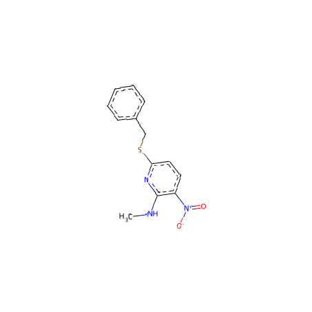 CNc1nc(SCc2ccccc2)ccc1[N+](=O)[O-]